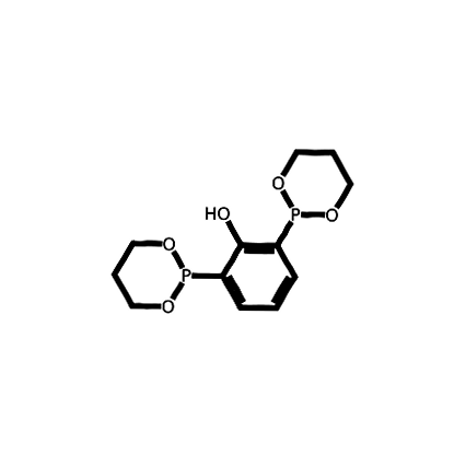 Oc1c(P2OCCCO2)cccc1P1OCCCO1